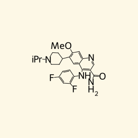 COc1cc2ncc(C(N)=O)c(Nc3ccc(F)cc3F)c2cc1C1CCN(C(C)C)CC1